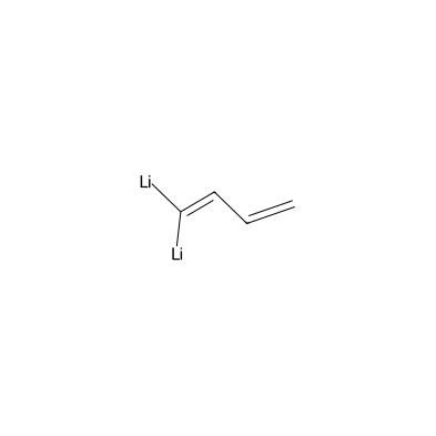 [Li][C]([Li])=CC=C